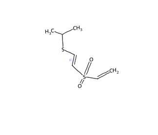 C=CS(=O)(=O)/C=C/SC(C)C